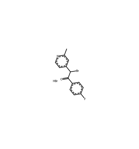 Br.Cc1cc(C(Br)C(=O)c2ccc(F)cc2)ccn1